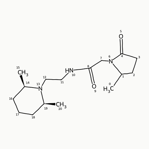 CC1CCC(=O)N1CC(=O)NCCN1[C@H](C)CCC[C@@H]1C